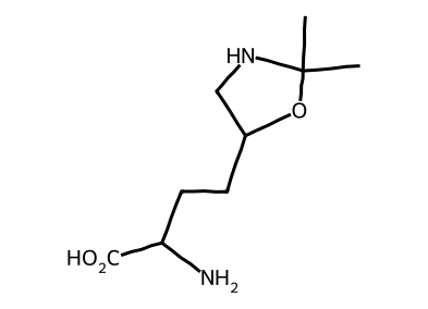 CC1(C)NCC(CCC(N)C(=O)O)O1